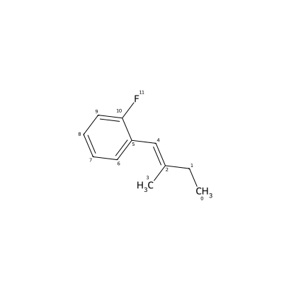 CC/C(C)=C/c1ccccc1F